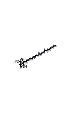 CC/C=C/C/C=C/C/C=C/C/C=C/C/C=C/C/C=C/CCC(=O)C1CNCCN1C(=O)O